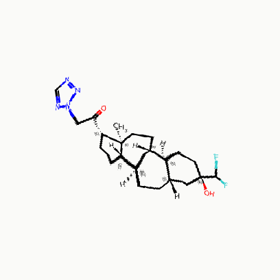 C[C@]12CC[C@H]3[C@@H](CC[C@H]4C[C@@](O)(C(F)F)CC[C@@H]43)[C@@H]1CC[C@@H]2C(=O)Cn1ncnn1